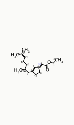 CCOC(=O)/C=C1/C=C(CC(C)CCC=C(C)C)CC1